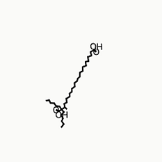 CCCCCCC(CCCCCC)(C(=O)O)C(C)CCCCCCCCCCCCCCCCCCCCCC(=O)O